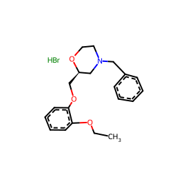 Br.CCOc1ccccc1OC[C@@H]1CN(Cc2ccccc2)CCO1